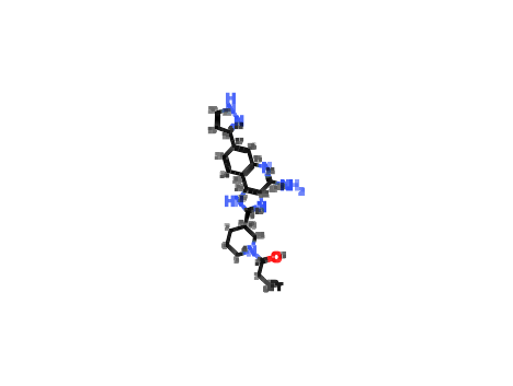 CC(C)CC(=O)N1CCC[C@@H](c2nc3c(N)nc4cc(-c5cc[nH]n5)ccc4c3[nH]2)C1